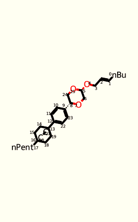 CCCC/C=C/CO[C@H]1CO[C@H](c2ccc(C34CCC(CCCCC)(CC3)CC4)cc2)CO1